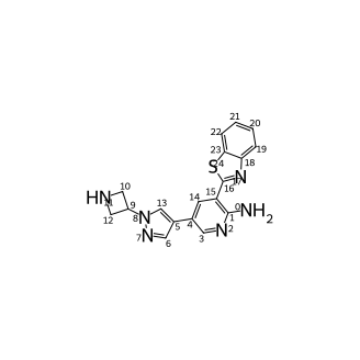 Nc1ncc(-c2cnn(C3CNC3)c2)cc1-c1nc2ccccc2s1